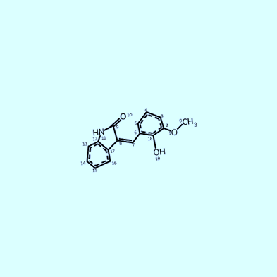 COc1cccc(C=C2C(=O)Nc3ccccc32)c1O